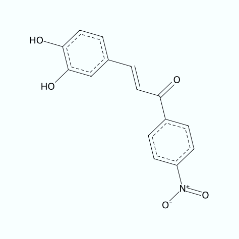 O=C(C=Cc1ccc(O)c(O)c1)c1ccc([N+](=O)[O-])cc1